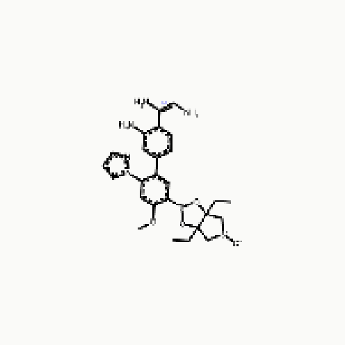 CCC12C[S+]([O-])CC1(CC)OB(c1cc(-c3ccc(/C(N)=C\N)c(N)c3)c(-n3cccn3)cc1OC)O2